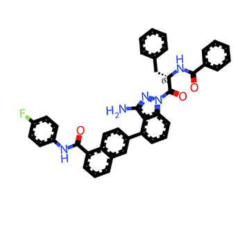 Nc1nn(C(=O)[C@H](Cc2ccccc2)NC(=O)c2ccccc2)c2cccc(-c3ccc4c(C(=O)Nc5ccc(F)cc5)cccc4c3)c12